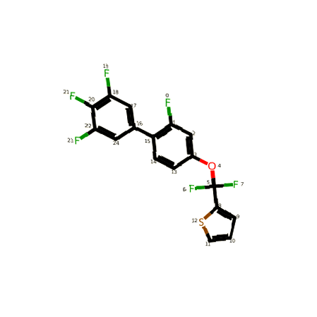 Fc1cc(OC(F)(F)c2cccs2)ccc1-c1cc(F)c(F)c(F)c1